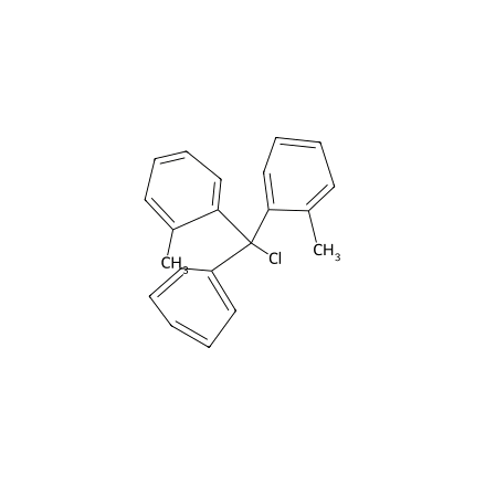 Cc1ccccc1C(Cl)(c1ccccc1)c1ccccc1C